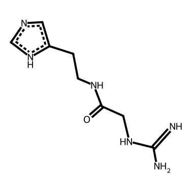 N=C(N)NCC(=O)NCCc1cnc[nH]1